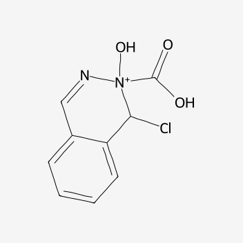 O=C(O)[N+]1(O)N=Cc2ccccc2C1Cl